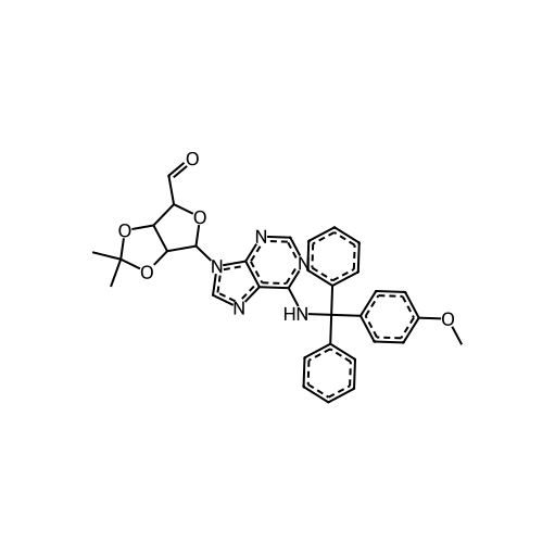 COc1ccc(C(Nc2ncnc3c2ncn3C2OC(C=O)C3OC(C)(C)OC32)(c2ccccc2)c2ccccc2)cc1